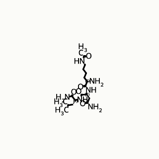 CC(=O)NCCCC[C@H](N)C(=O)N[C@@H](CC(N)=O)C(=O)N[C@H](CC(C)C)C(N)=O